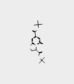 CC(C)(C)OC(=O)c1cc2n(c(=O)c1)C(C(=O)OC(C)(C)C)CS2